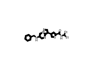 CCC(CC)NC(=O)c1cc(-c2cnn3cc(NCc4ccccc4)cnc23)cs1